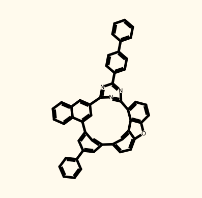 c1ccc(-c2ccc(-c3nc4nc(n3)c3cccc5oc6ccc(cc6c53)c3cc(-c5ccccc5)cc(c3)c3cc4cc4ccccc43)cc2)cc1